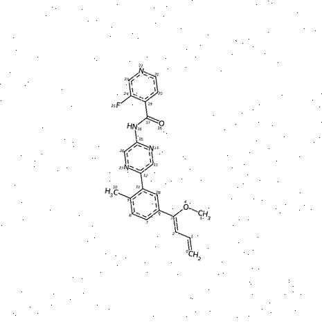 C=C/C=C(\OC)c1ccc(C)c(-c2cnc(NC(=O)c3ccncc3F)cn2)c1